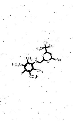 Cc1c(NCC2OC(C(C)(C)C)CC(C(C)(C)C(C)C)O2)c(C)c(C(=O)O)c(I)c1C(=O)O